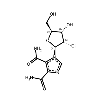 NC(=O)c1ncn([C@H]2O[C@@H](CO)[C@H](O)[C@@H]2O)c1C(N)=O